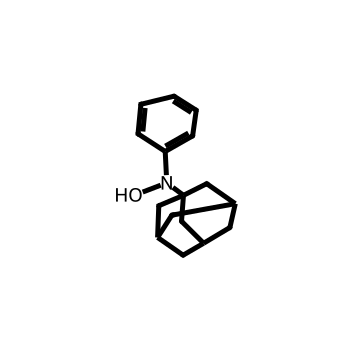 ON(c1ccccc1)C12CC3CC(CC(C3)C1)C2